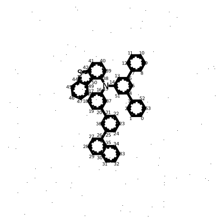 c1ccc(-c2cc(-c3ccccc3)cc(N(c3cccc(-c4cccc(-c5cccc6ccccc56)c4)c3)c3cccc4sc5ccccc5c34)c2)cc1